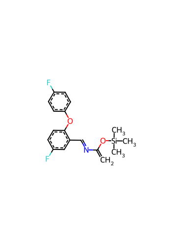 C=C(/N=C/c1cc(F)ccc1Oc1ccc(F)cc1)O[Si](C)(C)C